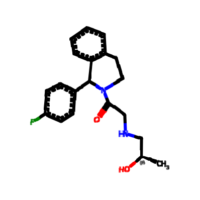 C[C@@H](O)CNCC(=O)N1CCc2ccccc2C1c1ccc(F)cc1